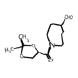 CC1(C)OC[C@H](C(=O)N2CCC(C=O)CC2)O1